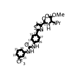 COC(=O)C(NC(=O)c1csc(-c2ccc(NC(=O)Nc3cccc(C(F)(F)F)c3)cc2)n1)C(C)C